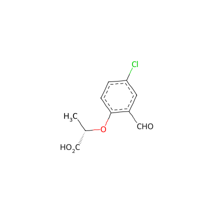 C[C@H](Oc1ccc(Cl)cc1C=O)C(=O)O